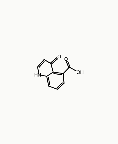 O=C(O)c1cccc2[nH]ccc(=O)c12